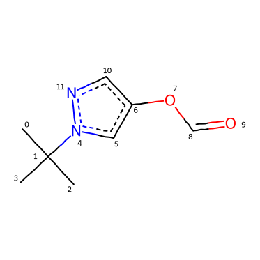 CC(C)(C)n1cc(OC=O)cn1